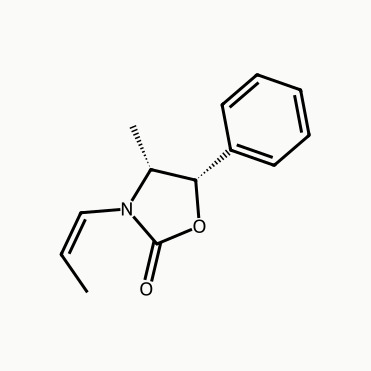 C/C=C\N1C(=O)O[C@@H](c2ccccc2)[C@H]1C